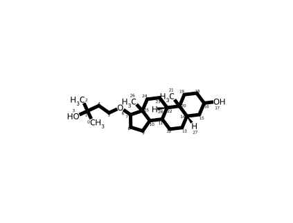 CC(C)(O)CCOC1CCC2C3CC[C@H]4CC(O)CCC4(C)[C@H]3CCC12C